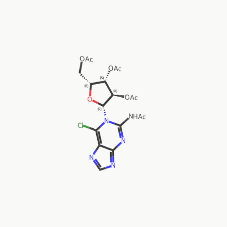 CC(=O)Nc1nc2ncnc-2c(Cl)n1[C@@H]1O[C@H](COC(C)=O)[C@H](OC(C)=O)[C@H]1OC(C)=O